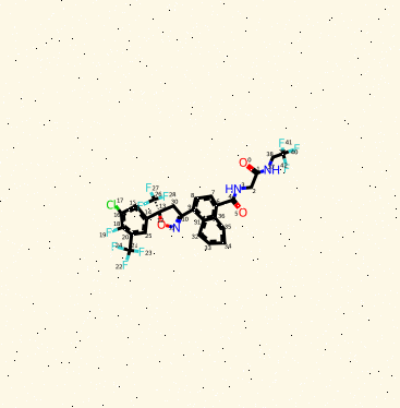 O=C(CNC(=O)c1ccc(C2=NO[C@](c3cc(Cl)c(F)c(C(F)(F)F)c3)(C(F)(F)F)C2)c2ccccc12)NCC(F)(F)F